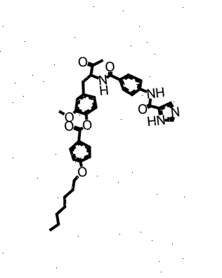 CCCCCCCOc1ccc(C(=O)Oc2ccc(CC(NC(=O)c3ccc(NC(=O)c4cnc[nH]4)cc3)C(C)=O)cc2OC)cc1